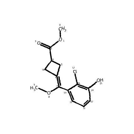 COC(=O)C1CC(=C(OC)c2cccc(O)c2Cl)C1